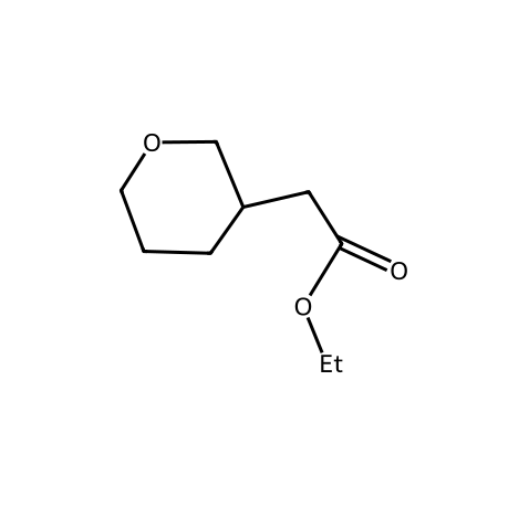 CCOC(=O)CC1CCCOC1